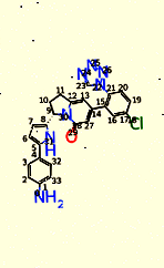 Nc1ccc(-c2ccc([C@@H]3CCc4cc(-c5cc(Cl)ccc5-n5cnnn5)cc(=O)n43)[nH]2)cc1